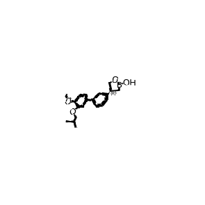 COc1ccc(-c2cccc([C@@H]3COB(O)C3)c2)cc1OCC(C)C